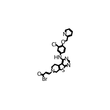 O=C(Br)C=CN1CCc2c(sc3ncnc(Nc4ccc(OCc5ccccn5)c(Cl)c4)c23)C1